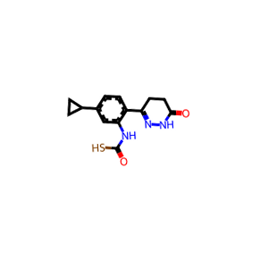 O=C(S)Nc1cc(C2CC2)ccc1C1=NNC(=O)CC1